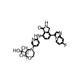 CC(C)(O)[C@@H]1COCCN(c2ccc(Nc3ccc(-c4cnc5cc(F)ccn45)c4c3C(=O)NC4)nc2)C1